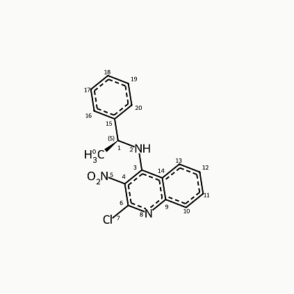 C[C@H](Nc1c([N+](=O)[O-])c(Cl)nc2ccccc12)c1ccccc1